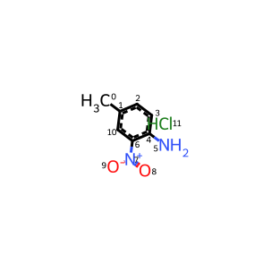 Cc1ccc(N)c([N+](=O)[O-])c1.Cl